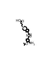 CC(C)Oc1ccc(-c2nc(-c3ccc4c(c3)CCN(CCCC(=O)O)CC4)no2)cc1N